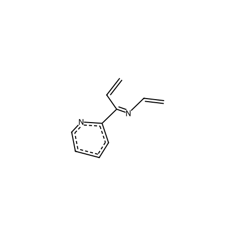 C=C/N=C(\C=C)c1ccccn1